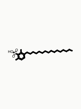 CCCCCCCCCCCCCCCCc1ccc(C)c(S(=O)(=O)O)c1C